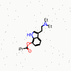 CCN(CC)CCc1c[nH]c2c(OC(=O)C(C)C)cccc12